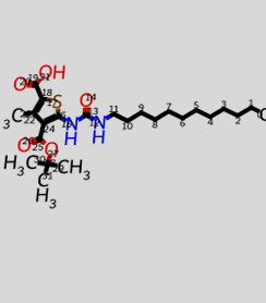 CCCCCCCCCCCCNC(=O)Nc1sc(C(=O)O)c(C)c1C(=O)OC(C)(C)C